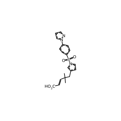 CC(C)(/C=C/C(=O)O)Cc1ccn(S(=O)(=O)c2ccc(-n3cccn3)cc2)c1